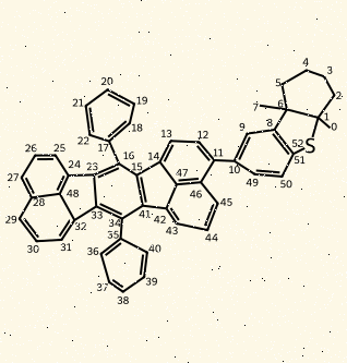 CC12CCCCC1(C)c1cc(-c3ccc4c5c(-c6ccccc6)c6c7cccc8cccc(c6c(-c6ccccc6)c5c5cccc3c54)c87)ccc1S2